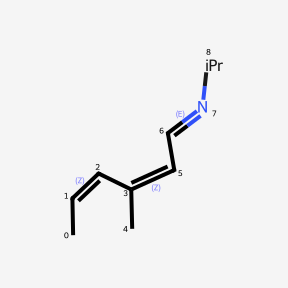 C\C=C/C(C)=C\C=N\C(C)C